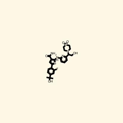 CC(C)(O)c1ccc(-c2cc(C(N)=O)c(Nc3cccc(C(CO)N4CCS(=O)(=O)CC4)n3)s2)c(F)c1